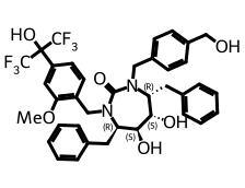 COc1cc(C(O)(C(F)(F)F)C(F)(F)F)ccc1CN1C(=O)N(Cc2ccc(CO)cc2)[C@H](Cc2ccccc2)[C@H](O)[C@@H](O)[C@H]1Cc1ccccc1